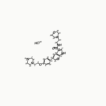 CN1CCN(CCOc2ccc(-c3cnc4[nH]cc(C(=O)NCCN5CCOCC5)c4c3)cc2)CC1.Cl